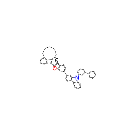 c1ccc(-c2cccc(-n3c4ccccc4c4ccc(-c5ccc6c(c5)oc5cc7c(cc56)CCCCCCCc5ccccc5-7)cc43)c2)cc1